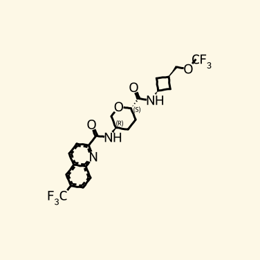 O=C(N[C@@H]1CC[C@@H](C(=O)N[C@H]2C[C@H](COC(F)(F)F)C2)OC1)c1ccc2cc(C(F)(F)F)ccc2n1